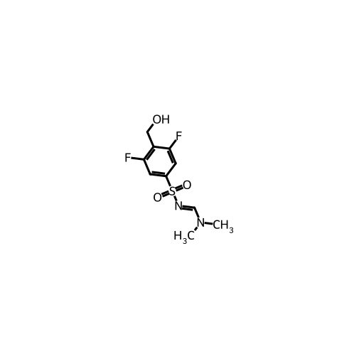 CN(C)/C=N/S(=O)(=O)c1cc(F)c(CO)c(F)c1